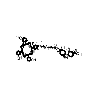 NC1CC(C(O)CO)CCCC(n2nnc3c2CC[C@@H]2[C@H](CC3)[C@H]2COC(=O)NCCSSCCNc2c(F)c(F)c(-c3c4nc(c(-c5cccc(O)c5)c5ccc([nH]5)c(-c5cccc(O)c5)c5nc(c(-c6cccc(O)c6)c6ccc3[nH]6)C=C5)C=C4)c(F)c2F)C1